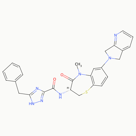 CN1C(=O)[C@@H](NC(=O)c2n[nH]c(Cc3ccccc3)n2)CSc2ccc(N3Cc4cccnc4C3)cc21